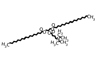 CCCCCCCCC=CCCCCCCCC(=O)OCC(COC(=O)CCCCCCCC=CCCCCCCCC)OC(=O)CCCN(C(C)C)C(C)C